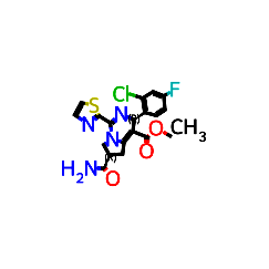 CCOC(=O)C1=C2C[C@@H](C(N)=O)CN2C(c2nccs2)=N[C@H]1c1ccc(F)cc1Cl